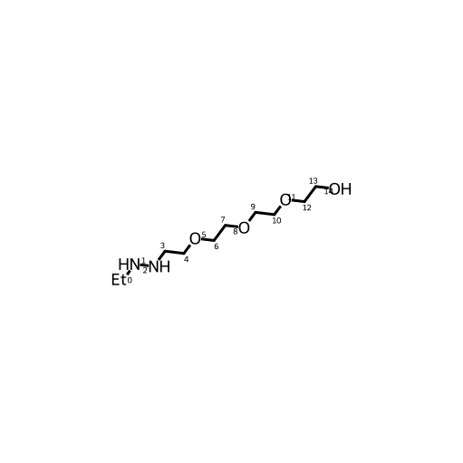 CCNNCCOCCOCCOCCO